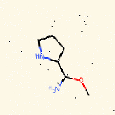 COC(N)C1CCCN1